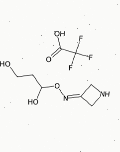 O=C(O)C(F)(F)F.OCCC(O)ON=C1CNC1